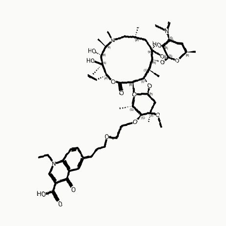 CC[C@H]1OC(=O)[C@H](C)[C@@H](O[C@H]2C[C@@](C)(OC)[C@@H](OCCOCCCc3ccc4c(c3)c(=O)c(C(=O)O)cn4CC)[C@H](C)O2)[C@H](C)[C@@H](O[C@@H]2O[C@H](C)C[C@H](N(C)C)[C@H]2O)[C@](C)(O)C[C@@H](C)CN(C)[C@H](C)[C@@H](O)[C@]1(C)O